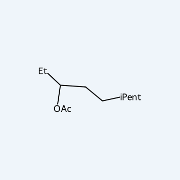 CCCC(C)CCC(CC)OC(C)=O